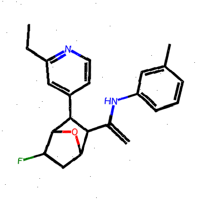 C=C(Nc1cccc(C)c1)C1C2CC(F)C(O2)C1c1ccnc(CC)c1